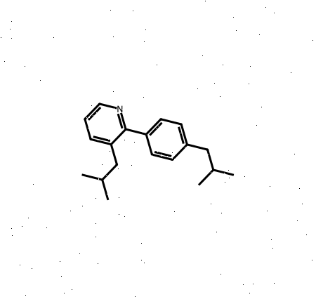 CC(C)Cc1ccc(-c2ncccc2CC(C)C)cc1